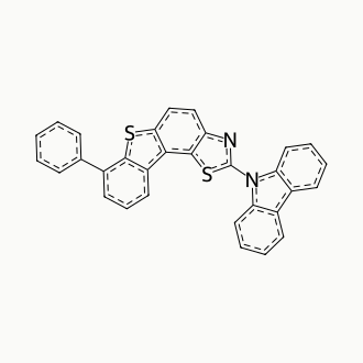 c1ccc(-c2cccc3c2sc2ccc4nc(-n5c6ccccc6c6ccccc65)sc4c23)cc1